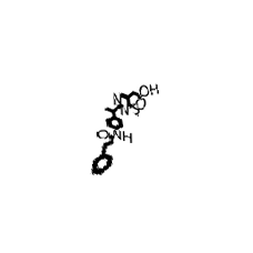 CSc1nc(C(C)c2ccc(NC(=O)/C=C/c3ccccc3)cc2)ncc1CC(=O)O